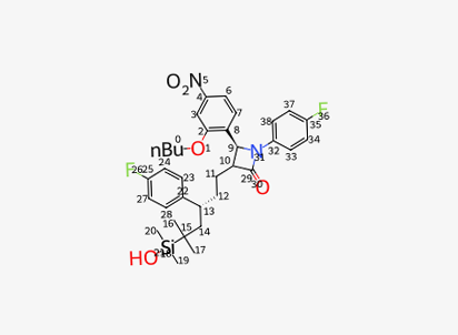 CCCCOc1cc([N+](=O)[O-])ccc1[C@@H]1C(CC[C@H](CC(C)(C)[Si](C)(C)O)c2ccc(F)cc2)C(=O)N1c1ccc(F)cc1